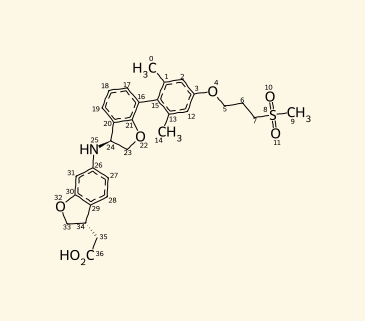 Cc1cc(OCCCS(C)(=O)=O)cc(C)c1-c1cccc2c1OC[C@H]2Nc1ccc2c(c1)OC[C@H]2CC(=O)O